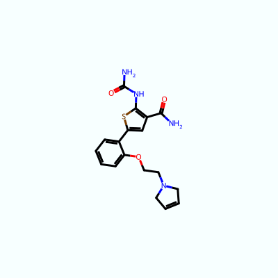 NC(=O)Nc1sc(-c2ccccc2OCCN2CC=CC2)cc1C(N)=O